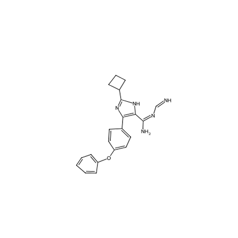 N=C/N=C(/N)c1[nH]c(C2CCC2)nc1-c1ccc(Oc2ccccc2)cc1